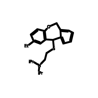 CCc1ccc2c(c1)C(SCCN(C(C)C)C(C)C)c1ccccc1CO2